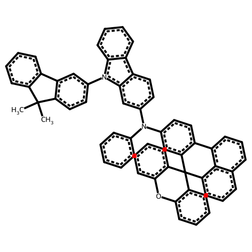 CC1(C)c2ccccc2-c2cc(-n3c4ccccc4c4ccc(N(c5ccccc5)c5ccc6c(c5)C5(c7ccccc7Oc7ccccc75)c5cccc7cccc-6c57)cc43)ccc21